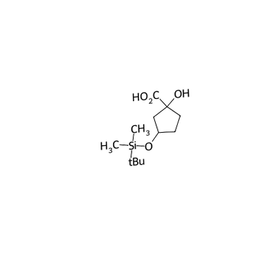 CC(C)(C)[Si](C)(C)OC1CCC(O)(C(=O)O)C1